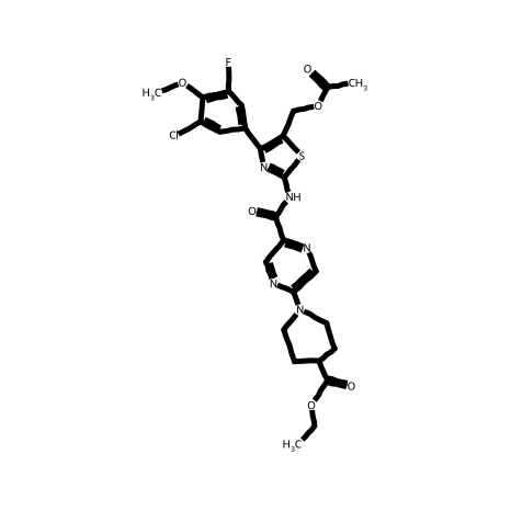 CCOC(=O)C1CCN(c2cnc(C(=O)Nc3nc(-c4cc(F)c(OC)c(Cl)c4)c(COC(C)=O)s3)cn2)CC1